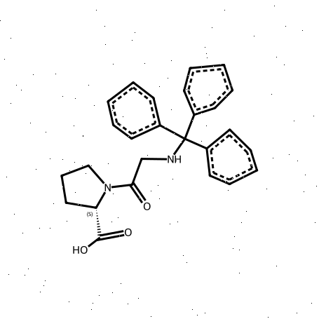 O=C(O)[C@@H]1CCCN1C(=O)CNC(c1ccccc1)(c1ccccc1)c1ccccc1